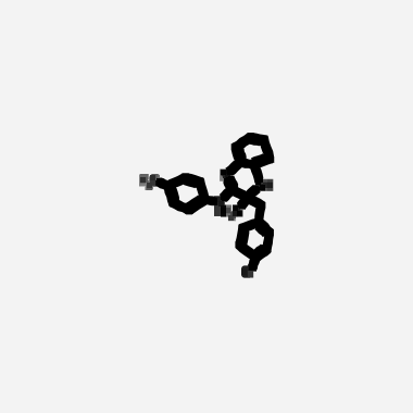 NC1(Cc2ccc(Cl)cc2)Nc2ccccc2N=C1Nc1ccc(C(F)(F)F)cc1